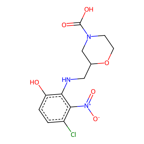 O=C(O)N1CCOC(CNc2c(O)ccc(Cl)c2[N+](=O)[O-])C1